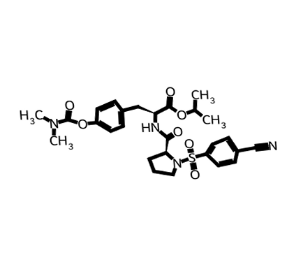 CC(C)OC(=O)[C@H](Cc1ccc(OC(=O)N(C)C)cc1)NC(=O)[C@@H]1CCCN1S(=O)(=O)c1ccc(C#N)cc1